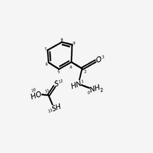 NNC(=O)c1ccccc1.OC(=S)S